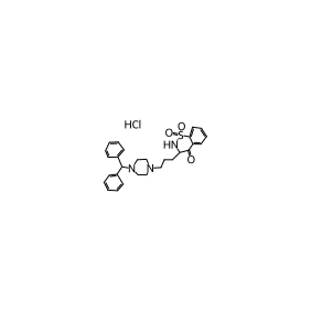 Cl.O=C1c2ccccc2S(=O)(=O)NC1CCCN1CCN(C(c2ccccc2)c2ccccc2)CC1